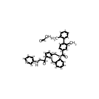 Cc1ccccc1-c1ccc(C(=O)N2Cc3ccc(C(=O)CNc4cccnc4)n3Cc3ccccc32)cc1C.O=CO